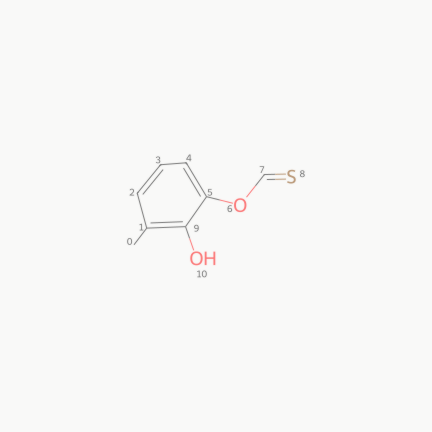 Cc1cccc(OC=S)c1O